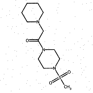 CS(=O)(=O)N1CCN(C(=O)CN2CCCCC2)CC1